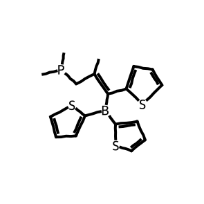 C/C(CP(C)C)=C(/B(c1cccs1)c1cccs1)c1cccs1